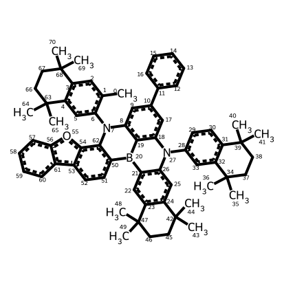 Cc1cc2c(cc1N1c3cc(-c4ccccc4)cc4c3B(c3cc5c(cc3N4c3ccc4c(c3)C(C)(C)CCC4(C)C)C(C)(C)CCC5(C)C)c3ccc4c(oc5ccccc54)c31)C(C)(C)CCC2(C)C